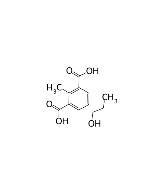 CCCO.Cc1c(C(=O)O)cccc1C(=O)O